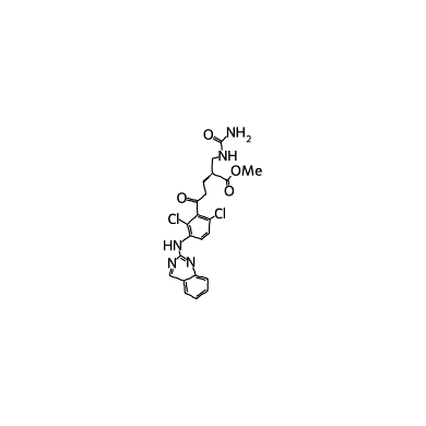 COC(=O)[C@@H](CCC(=O)c1c(Cl)ccc(Nc2ncc3ccccc3n2)c1Cl)CNC(N)=O